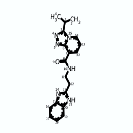 CC(C)c1nnc2c(C(=O)NCCc3nc4ccccc4[nH]3)cccn12